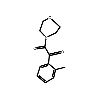 Cc1ccccc1C(=O)C(=O)N1CCOCC1